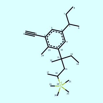 C#Cc1cc(C(C)CC)cc(C(C)(CC)CC(C)[SH](C)(C)(C)C)c1C